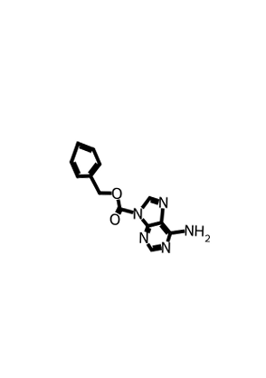 Nc1ncnc2c1ncn2C(=O)OCc1ccccc1